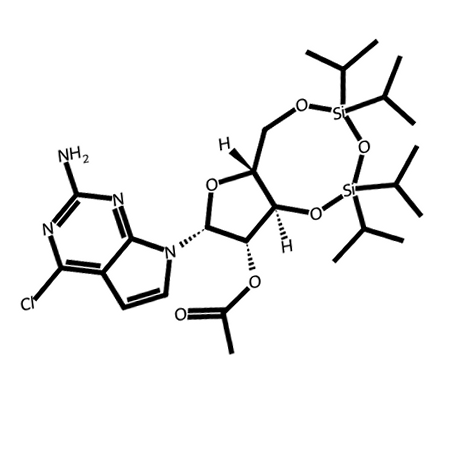 CC(=O)O[C@H]1[C@@H]2O[Si](C(C)C)(C(C)C)O[Si](C(C)C)(C(C)C)OC[C@H]2O[C@H]1n1ccc2c(Cl)nc(N)nc21